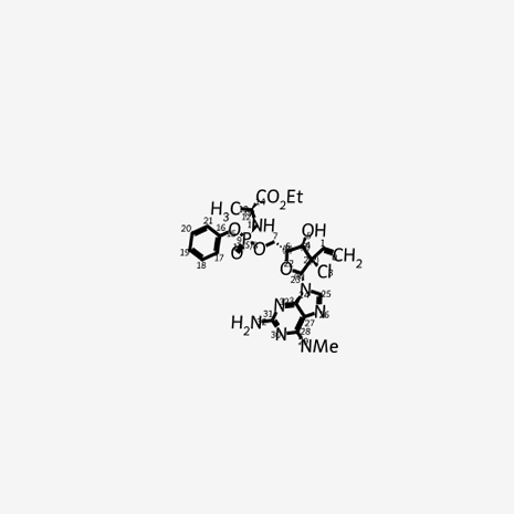 C=C[C@@]1(Cl)[C@H](O)[C@@H](CO[P@@](=O)(N[C@@H](C)C(=O)OCC)Oc2ccccc2)O[C@H]1n1cnc2c(NC)nc(N)nc21